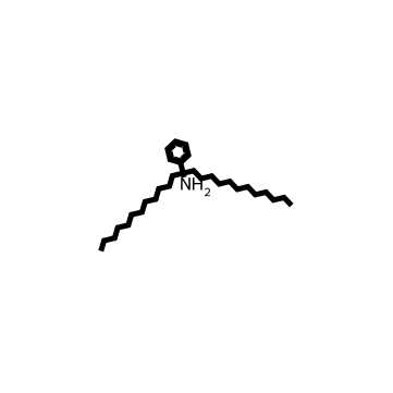 CCCCCCCCCCCCC(N)(CCCCCCCCCCCC)c1ccccc1